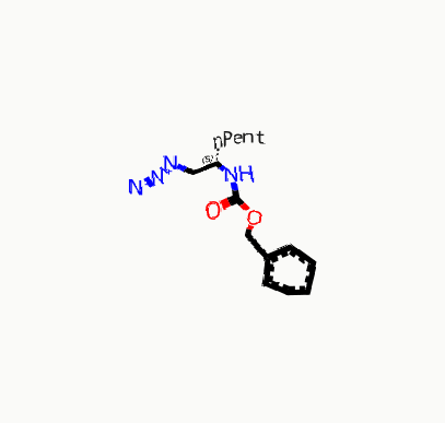 CCCCC[C@@H](CN=[N+]=[N-])NC(=O)OCc1ccccc1